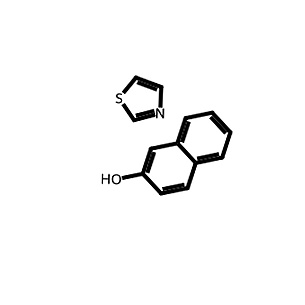 Oc1ccc2ccccc2c1.c1cscn1